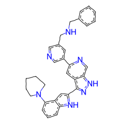 c1ccc(CNCc2cncc(-c3cc4c(-c5cc6c(N7CCCCC7)cccc6[nH]5)n[nH]c4cn3)c2)cc1